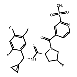 CS(=O)(=O)c1cc(C(=O)N2C[C@@H](F)C[C@@H]2C(=O)N[C@H](C2=CC2)c2cc(F)c(Cl)cc2F)ccn1